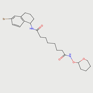 O=C(CCCCCCC(=O)NC1CCCc2cc(Br)ccc21)NOC1CCCCO1